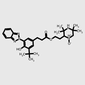 CC1(C)C[NH+]([O-])C(CCOC(=O)CCc2cc(-n3nc4ccccc4n3)c(O)c(C(C)(C)C)c2)C(C)(C)N1